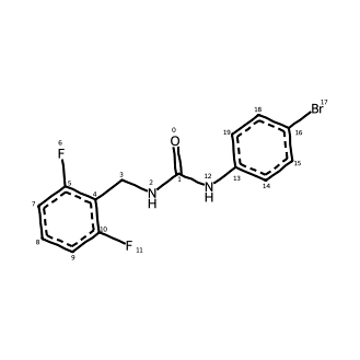 O=C(NCc1c(F)cccc1F)Nc1ccc(Br)cc1